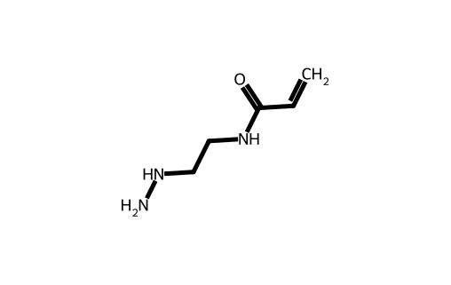 C=CC(=O)NCCNN